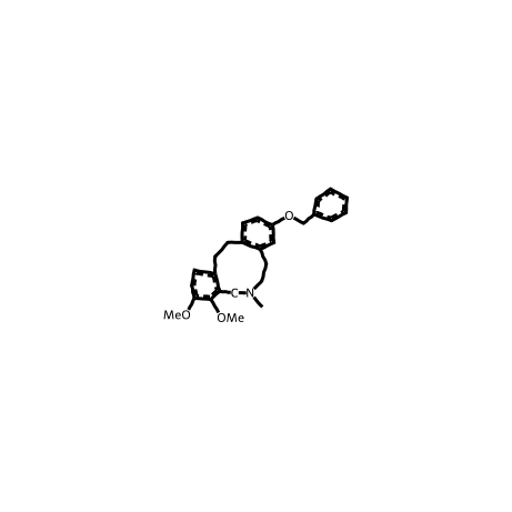 COc1ccc2c(c1OC)CN(C)CCc1cc(OCc3ccccc3)ccc1CC2